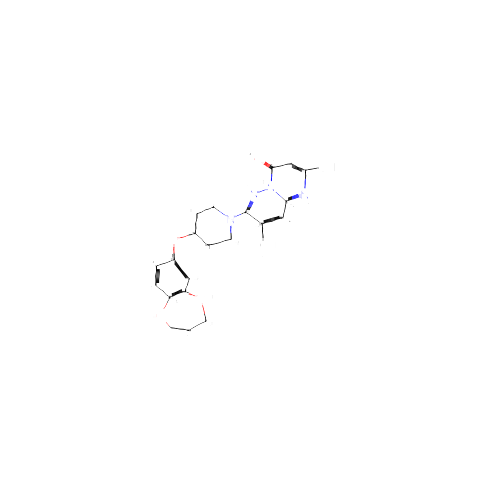 Cc1cc(=O)n2nc(N3CCC(Oc4ccc5c(c4)OCCCO5)CC3)c(C)cc2n1